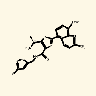 COc1ccc(-c2nc(C(=O)NCc3cc(Br)no3)c([C@H](C)N)o2)c2ccc(C(F)(F)F)nc12